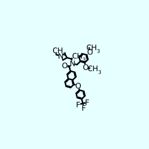 CCN1CC(C(C)N(Cc2ccc(OC)cc2OC)C(=O)c2ccc3c(Oc4ccc(C(F)(F)F)cc4)cccc3c2)C1